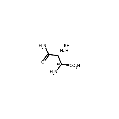 NC(=O)C[C@H](N)C(=O)O.[KH].[NaH]